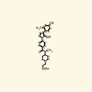 COCCN1CCC(N(C)C(=O)c2ccc(-n3ncc(-c4ccc(C#N)cc4C)c3O)nc2)CC1